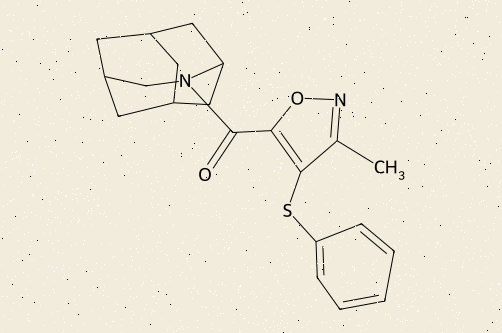 Cc1noc(C(=O)N2CC3CC4CC(C3)CC2C4)c1Sc1ccccc1